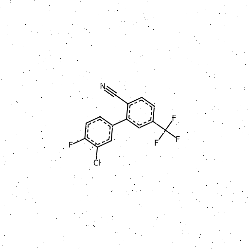 N#Cc1ccc(C(F)(F)F)cc1-c1ccc(F)c(Cl)c1